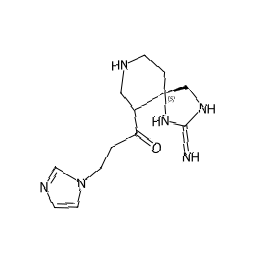 N=C1NC[C@@]2(CCNCC2C(=O)CCn2ccnc2)N1